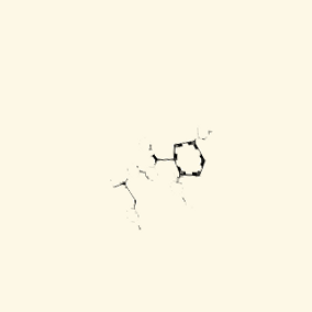 COC[C](C)OOC(=O)c1cc(OC)ccc1OC